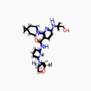 CC(C)(CO)Nc1ccc(C(=O)Nc2cccc(N3C[C@@H]4C[C@H]3CO4)n2)c(N2CCC3(CC2)CC3)n1